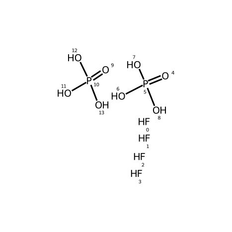 F.F.F.F.O=P(O)(O)O.O=P(O)(O)O